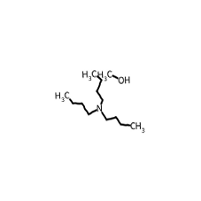 CCCCN(CCCC)CCCC.CO